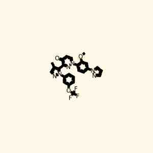 COc1cc(-n2cccn2)ccc1-n1ccc(=O)c(-c2c(C)cnn2-c2cccc(OC(F)(F)F)c2)n1